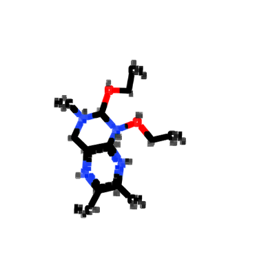 CCOC1N(C)Cc2nc(C)c(C)nc2N1OCC